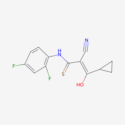 N#C/C(C(=S)Nc1ccc(F)cc1F)=C(/O)C1CC1